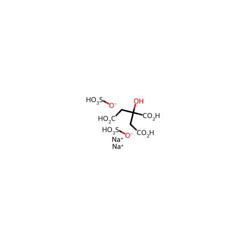 O=C(O)CC(O)(CC(=O)O)C(=O)O.O=S(=O)([O-])O.O=S(=O)([O-])O.[Na+].[Na+]